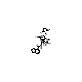 N=C1NC2[C@H](CN3C(=O)CCC3=O)NC(=N)N3CC(NC(=O)c4cccc5c4CCC5)C(O)(O)[C@@]23N1